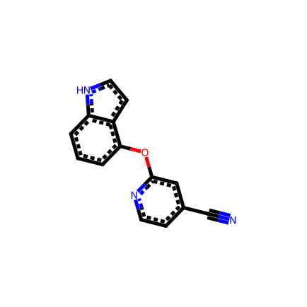 N#Cc1ccnc(Oc2cccc3[nH]ccc23)c1